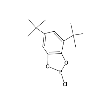 CC(C)(C)c1cc2c(c(C(C)(C)C)c1)OP(Cl)O2